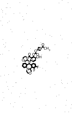 CC(=O)N1CC(OC(=O)OC2=C3C(=O)N4CCOCC4N(C4c5ccccc5N5CCOCC5c5c4ccc(F)c5F)N3C=CC2O)C1